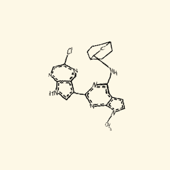 Cn1ccc2c(NC3CC4CCC3CC4)nc(-c3c[nH]c4ncc(Cl)nc34)nc21